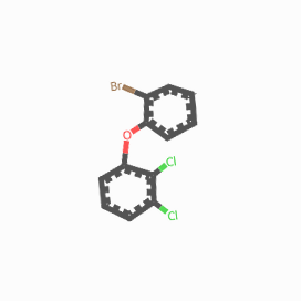 Clc1cccc(Oc2cc[c]cc2Br)c1Cl